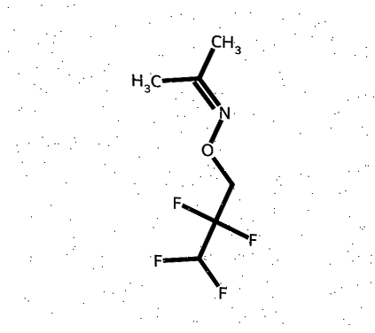 CC(C)=NOCC(F)(F)C(F)F